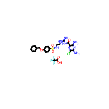 N=C(NCCNS(=O)(=O)c1ccc(OCc2ccccc2)cc1)NC(=O)c1nc(Cl)c(N)nc1N.O=C(O)C(F)(F)F